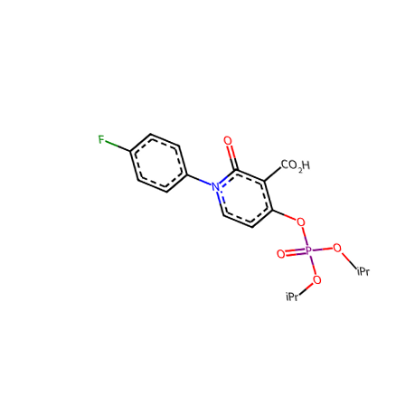 CC(C)OP(=O)(Oc1ccn(-c2ccc(F)cc2)c(=O)c1C(=O)O)OC(C)C